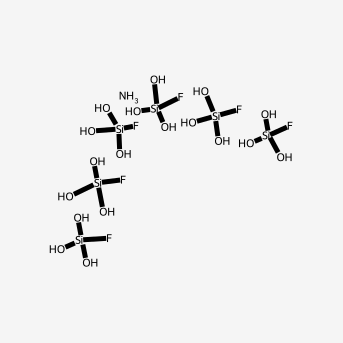 N.O[Si](O)(O)F.O[Si](O)(O)F.O[Si](O)(O)F.O[Si](O)(O)F.O[Si](O)(O)F.O[Si](O)(O)F